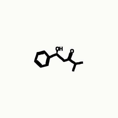 CC(C)C(=O)C[C@@H](O)c1ccccc1